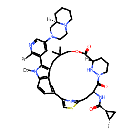 CCn1c(-c2cc(N3CCN4CCCC[C@@H]4C3)cnc2C(C)C)c2c3cc(ccc31)-c1csc(n1)C[C@H](NC(=O)[C@H]1C[C@@H]1C)C(=O)N1CCC[C@H](N1)C(=O)OCC(C)(C)C2